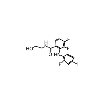 O=C(NCCO)c1ccc(F)c(F)c1Nc1ccc(I)cc1F